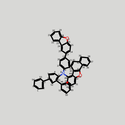 c1ccc(-c2ccc(N(c3ccc(-c4ccc5oc6ccccc6c5c4)cc3)c3cccc4oc5c6ccccc6ccc5c34)c(-c3ccccc3)c2)cc1